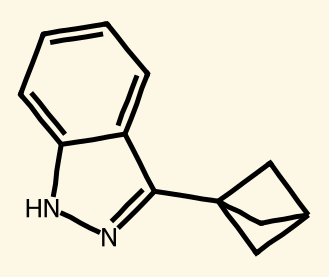 c1ccc2c(C34CC(C3)C4)n[nH]c2c1